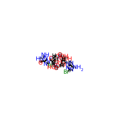 Nc1nc2c(nc(Br)n2[C@@H]2O[C@@H]3COP(=O)(O)O[C@H]4[C@@H](O)[C@H](n5cnc6c(N)nc(Br)nc65)O[C@@H]4COP(=O)(O)C[C@@H]2[C@@H]3O)c(=O)[nH]1